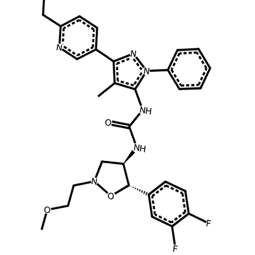 COCCN1C[C@@H](NC(=O)Nc2c(C)c(-c3ccc(CN(C)C)nc3)nn2-c2ccccc2)[C@H](c2ccc(F)c(F)c2)O1